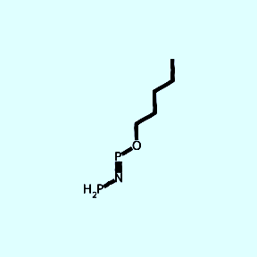 CCCCCOP=NP